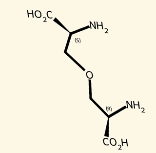 N[C@H](COC[C@H](N)C(=O)O)C(=O)O